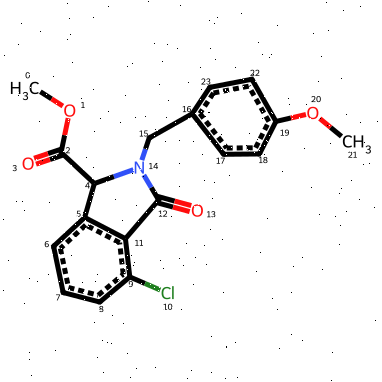 COC(=O)C1c2cccc(Cl)c2C(=O)N1Cc1ccc(OC)cc1